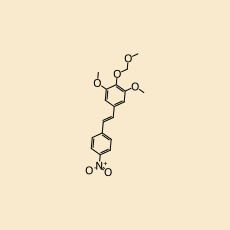 COCOc1c(OC)cc(/C=C/c2ccc([N+](=O)[O-])cc2)cc1OC